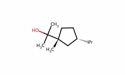 CC(C)[C@H]1CC[C@@](C)(C(C)(C)O)C1